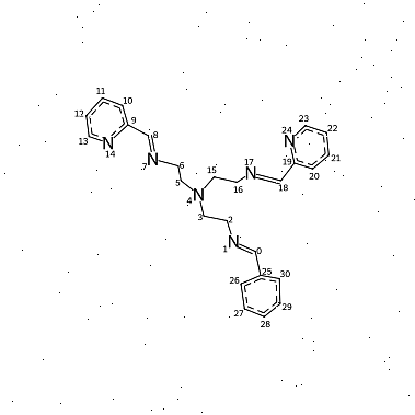 C(=NCCN(CCN=Cc1ccccn1)CCN=Cc1ccccn1)c1ccccc1